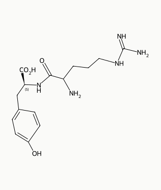 N=C(N)NCCCC(N)C(=O)N[C@@H](Cc1ccc(O)cc1)C(=O)O